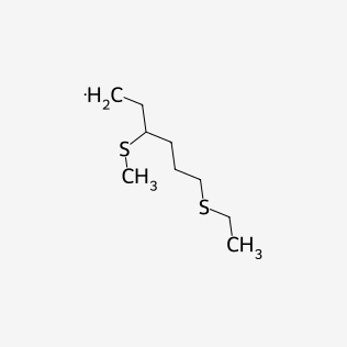 [CH2]CC(CCCSCC)SC